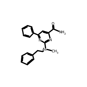 C[As](CCc1ccccc1)c1nc(C(N)=O)cc(-c2ccccc2)n1